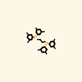 Cc1cc(C)cc(P(CCCCP(c2cc(C)cc(C)c2)c2cc(C)cc(C)c2)c2cc(C)cc(C)c2)c1